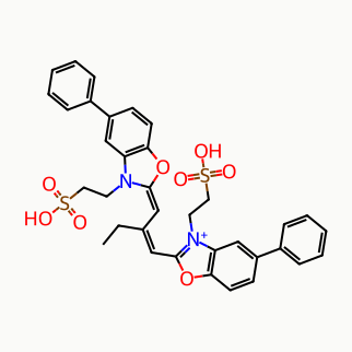 CCC(=Cc1oc2ccc(-c3ccccc3)cc2[n+]1CCS(=O)(=O)O)C=C1Oc2ccc(-c3ccccc3)cc2N1CCS(=O)(=O)O